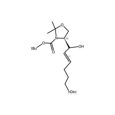 CCCCCCCCCCCCC/C=C/C(O)[C@@H]1COC(C)(C)N1C(=O)OC(C)(C)C